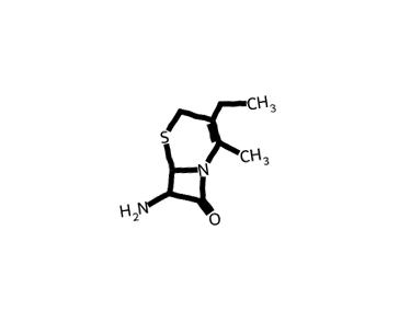 CCC1=C(C)N2C(=O)C(N)C2SC1